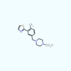 O=C(O)N1CCN(Cc2ccc(C(F)(F)F)c(-c3nccs3)c2)CC1